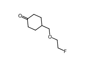 O=C1CCC(COCCF)CC1